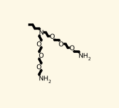 CCCCN(CCOCCOCCOCCN)CCOCCOCCOCCN